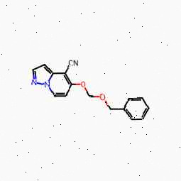 N#Cc1c(OCOCc2ccccc2)ccn2nccc12